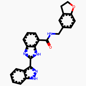 O=C(NCc1ccc2c(c1)CCO2)c1cccc2nc(-c3n[nH]c4ccccc34)[nH]c12